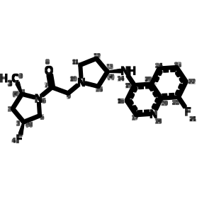 C[C@@H]1C[C@H](F)CN1C(=O)CN1CC[C@@H](Nc2ccnc3c(F)cccc23)C1